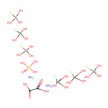 N.N.O=C(O)C(=O)O.O=P(O)(O)O.O[Si](O)(O)F.O[Si](O)(O)F.O[Si](O)(O)F.O[Si](O)(O)F.O[Si](O)(O)F.O[Si](O)(O)F